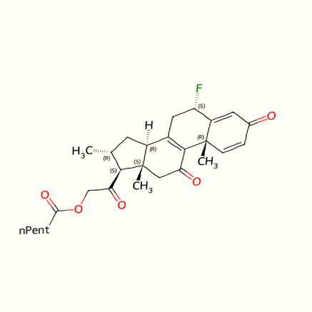 CCCCCC(=O)OCC(=O)[C@H]1[C@H](C)C[C@H]2C3=C(C(=O)C[C@@]21C)[C@@]1(C)C=CC(=O)C=C1[C@@H](F)C3